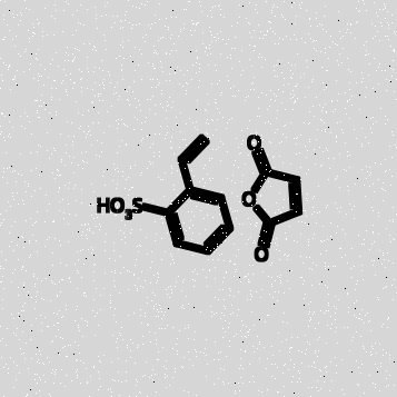 C=Cc1ccccc1S(=O)(=O)O.O=C1C=CC(=O)O1